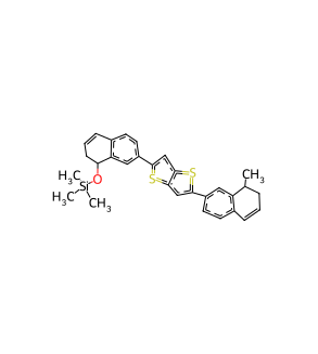 CC1CC=Cc2ccc(-c3cc4sc(-c5ccc6c(c5)C(O[Si](C)(C)C)CC=C6)cc4s3)cc21